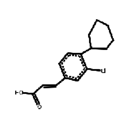 O=C(O)C=Cc1ccc(C2CCCCC2)c(Cl)c1